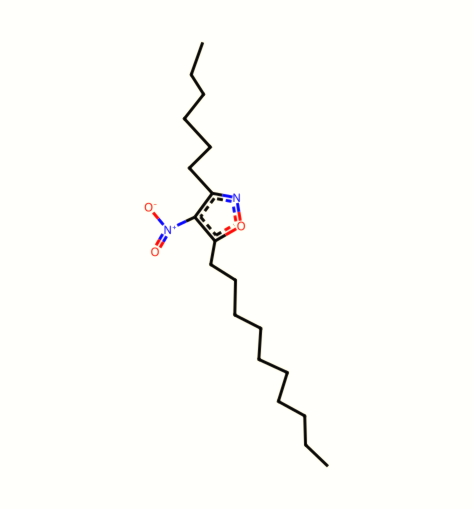 CCCCCCCCCCc1onc(CCCCCC)c1[N+](=O)[O-]